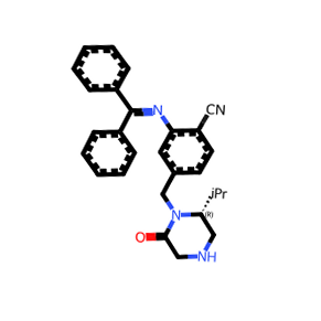 CC(C)[C@@H]1CNCC(=O)N1Cc1ccc(C#N)c(N=C(c2ccccc2)c2ccccc2)c1